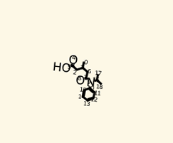 CC(CC(=O)O)CC(=O)N(c1ccccc1)C(C)C